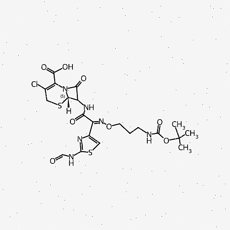 CC(C)(C)OC(=O)NCCCON=C(C(=O)NC1C(=O)N2C(C(=O)O)=C(Cl)CS[C@@H]12)c1csc(NC=O)n1